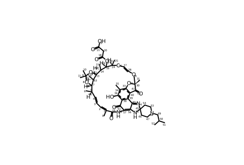 C/C1=C/C=C/[C@H](C)[C@@H]2OC(C)(C)O[C@@H]([C@@H](C)[C@H](OC(=O)CC(=O)O)[C@H](C)C/C=C/O[C@@]3(C)Oc4c(C)c(O)c5c(c4C3=O)C3=NC4(CCN(CC(C)C)CC4)NC3=C(NC1=O)C5=O)[C@@H]2C